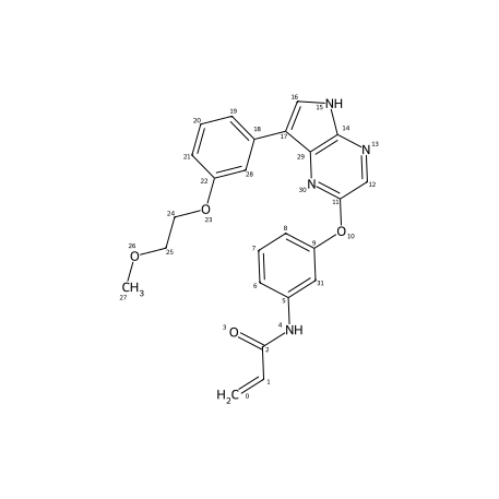 C=CC(=O)Nc1cccc(Oc2cnc3[nH]cc(-c4cccc(OCCOC)c4)c3n2)c1